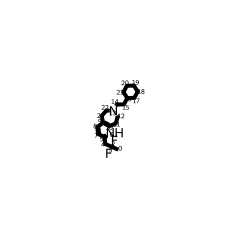 CC(F)(F)CC(=N)/C=C\C1=CCCN(CCC2CCCCC2)CC1